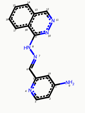 Nc1ccnc(C=NNc2nncc3ccccc23)c1